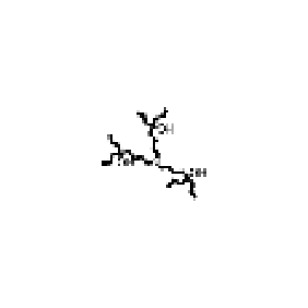 C=CCC(O)(CC=C)CCCCN(CCCCC(O)(CC=C)CC=C)CCCCC(O)(CC=C)CC=C